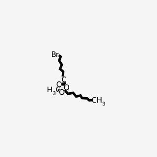 CCCCCCCCC(OC)OC(=O)CCCCCCCBr